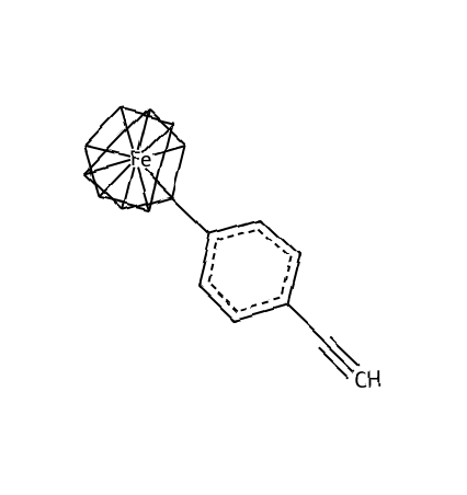 C#Cc1ccc([C]23[CH]4[CH]5[CH]6[CH]2[Fe]56432789[CH]3[CH]2[CH]7[CH]8[CH]39)cc1